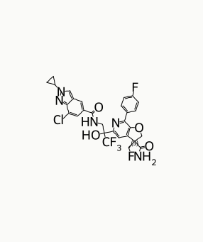 NC(=O)[C@@]1(CF)COc2c1cc(C(O)(CNC(=O)c1cc(Cl)c3nn(C4CC4)cc3c1)C(F)(F)F)nc2-c1ccc(F)cc1